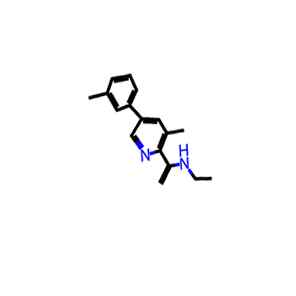 C=C(NCC)c1ncc(-c2cccc(C)c2)cc1C